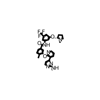 CNc1nccc(-c2cccnc2Oc2cc(C(=O)Nc3cc(OC[C@@H]4CCCN4C)cc(C(F)(F)F)c3)ccc2C)n1